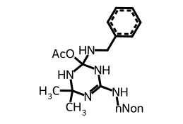 CCCCCCCCCNC1=NC(C)(C)NC(NCc2ccccc2)(OC(C)=O)N1